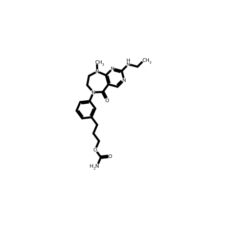 CCNc1ncc2c(n1)N(C)CCN(c1cccc(CCCOC(N)=O)c1)C2=O